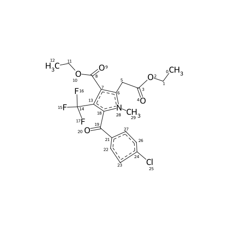 CCOC(=O)Cc1c(C(=O)OCC)c(C(F)(F)F)c(C(=O)c2ccc(Cl)cc2)n1C